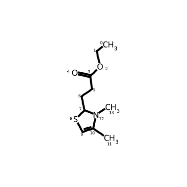 CCOC(=O)CCC1SC=C(C)N1C